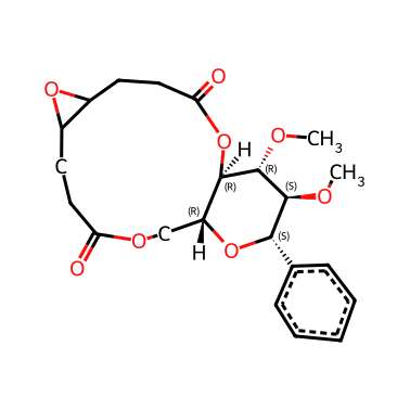 CO[C@@H]1[C@@H](OC)[C@H](c2ccccc2)O[C@@H]2COC(=O)CCC3OC3CCC(=O)O[C@@H]12